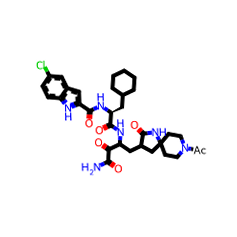 CC(=O)N1CCC2(CC1)CC(CC(NC(=O)[C@H](CC1CCCCC1)NC(=O)c1cc3cc(Cl)ccc3[nH]1)C(=O)C(N)=O)C(=O)N2